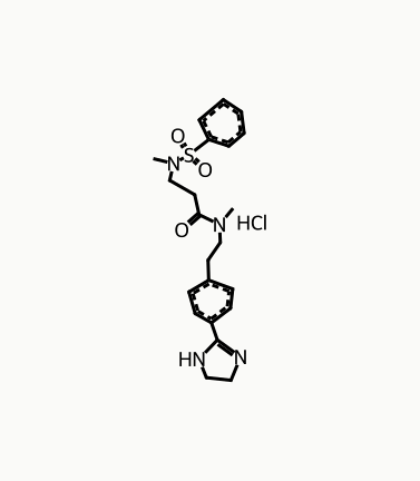 CN(CCc1ccc(C2=NCCN2)cc1)C(=O)CCN(C)S(=O)(=O)c1ccccc1.Cl